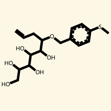 C=CCC(OCc1ccc(SC)cc1)C(O)C(O)C(O)C(O)CO